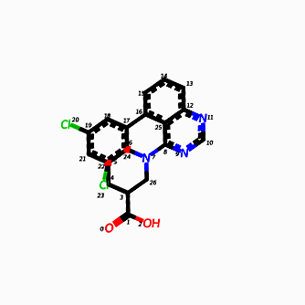 O=C(O)C1CCCN(c2ncnc3cccc(-c4cc(Cl)cc(Cl)c4)c23)C1